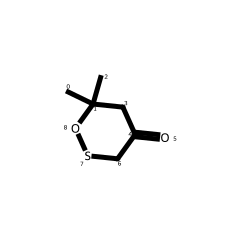 CC1(C)CC(=O)CSO1